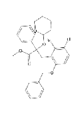 COC(=O)C(Cc1c(OCc2ccccc2)ccc(Cl)c1Br)(OC1CCCCO1)c1ccccc1